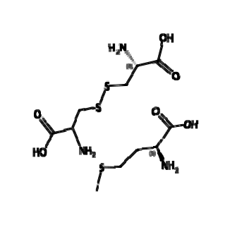 CSCC[C@H](N)C(=O)O.NC(CSSC[C@H](N)C(=O)O)C(=O)O